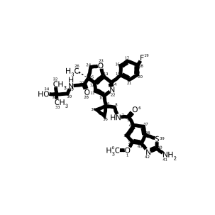 COc1cc(C(=O)NCC2(c3cc4c(c(-c5ccc(F)cc5)n3)OC[C@]4(C)C(=O)NCC(C)(C)O)CC2)cc2sc(N)nc12